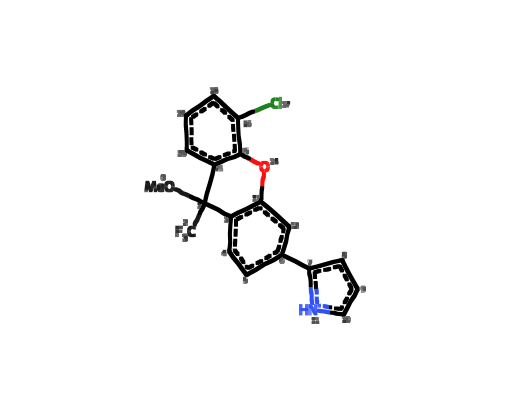 COC1(C(F)(F)F)c2ccc(-c3ccc[nH]3)cc2Oc2c(Cl)cccc21